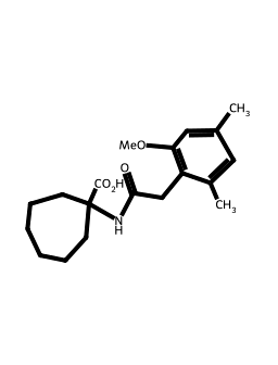 COc1cc(C)cc(C)c1CC(=O)NC1(C(=O)O)CCCCCC1